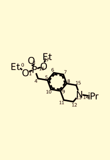 CCOP(=O)(Cc1ccc2c(c1)CCN(C(C)C)C2)OCC